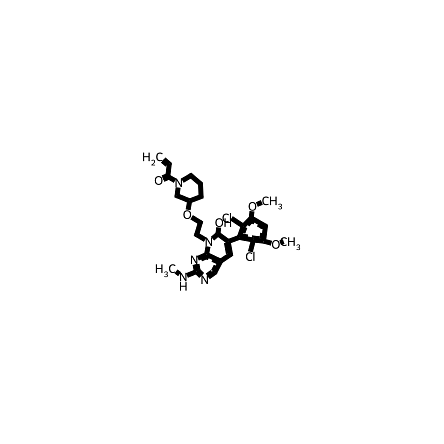 C=CC(=O)N1CCCC(OCCN2c3nc(NC)ncc3C=C(c3c(Cl)c(OC)cc(OC)c3Cl)C2O)C1